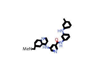 CNCc1ccc2nccc(Nc3cncc(C(=O)Nc4cccc(Nc5cccc(C)c5)c4)c3)c2c1